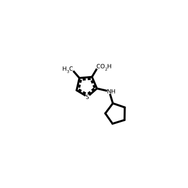 Cc1csc(NC2CCCC2)c1C(=O)O